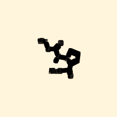 COC(=O)c1cccn1N(C)C(=O)OC(C)(C)C